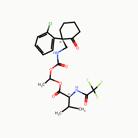 CC(OC(=O)NC[C@@]1(c2ccccc2Cl)CCCCC1=O)OC(=O)[C@@H](NC(=O)C(F)(F)F)C(C)C